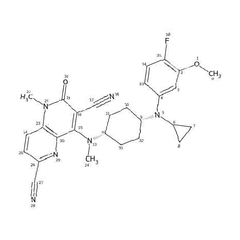 COc1cc(N(C2CC2)[C@H]2CC[C@@H](N(C)c3c(C#N)c(=O)n(C)c4ccc(C#N)nc34)CC2)ccc1F